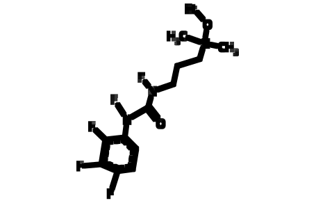 CCO[Si](C)(C)CCCN(F)C(=O)N(F)c1ccc(F)c(F)c1F